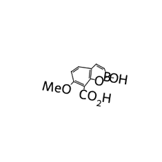 COc1ccc2c(c1C(=O)O)OB(O)C=C2